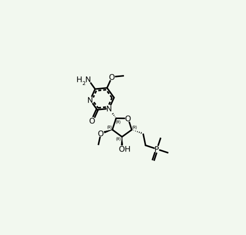 C=P(C)(C)CC[C@H]1O[C@@H](n2cc(OC)c(N)nc2=O)[C@H](OC)[C@@H]1O